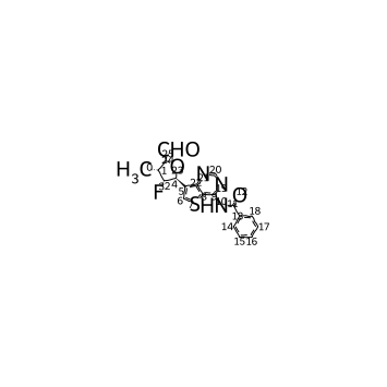 C[C@H]1[C@@H](F)[C@H](c2csc3c(NC(=O)c4ccccc4)ncnc23)O[C@@H]1C=O